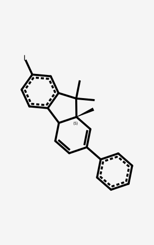 CC1(C)c2cc(I)ccc2C2C=CC(c3ccccc3)=C[C@]21C